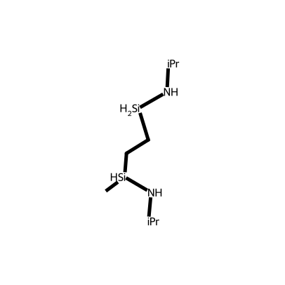 CC(C)N[SiH2]CC[SiH](C)NC(C)C